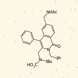 CC(=O)NCc1ccc2c(=O)n(CC(C)C)c(CN(C(=O)O)C(C)(C)C)c(-c3ccccc3)c2c1